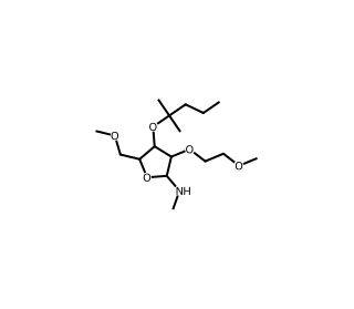 CCCC(C)(C)OC1C(COC)OC(NC)C1OCCOC